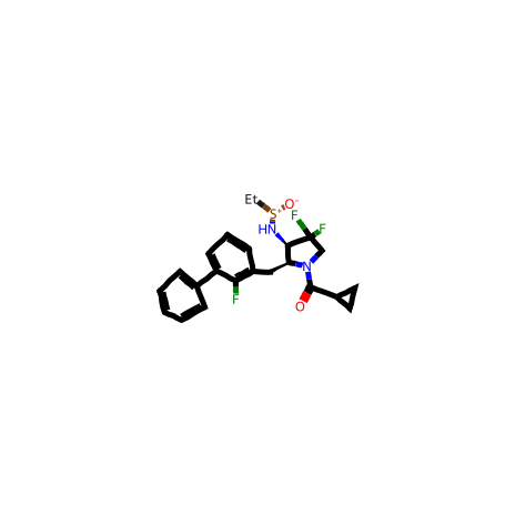 CC[S+]([O-])N[C@@H]1[C@H](Cc2cccc(-c3ccccc3)c2F)N(C(=O)C2CC2)CC1(F)F